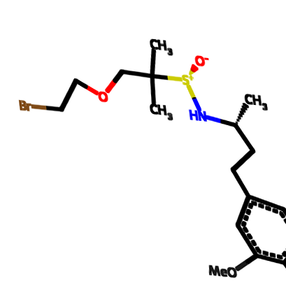 COc1cc(CC[C@@H](C)N[S@+]([O-])C(C)(C)COCCBr)ccc1O